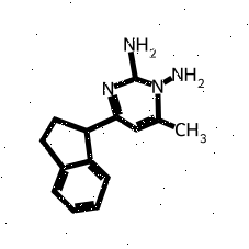 CC1=CC(C2CCc3ccccc32)=NC(N)N1N